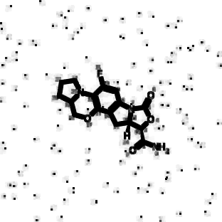 NC(=O)[C@@H]1OC(=O)N2c3cc(F)c4c(c3C[C@@H]12)OCC1CCCN41